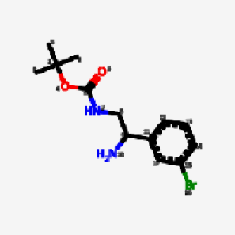 CC(C)(C)OC(=O)NCC(N)c1cccc(Br)c1